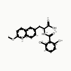 COc1ccc2cc(CC(NC(=O)c3c(Cl)cccc3Cl)C(=O)O)ccc2n1